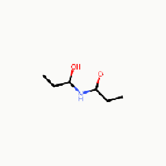 CCC([O])NC(O)CC